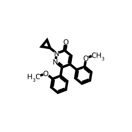 COc1ccccc1-c1cc(=O)n(C2CC2)nc1-c1ccccc1OC